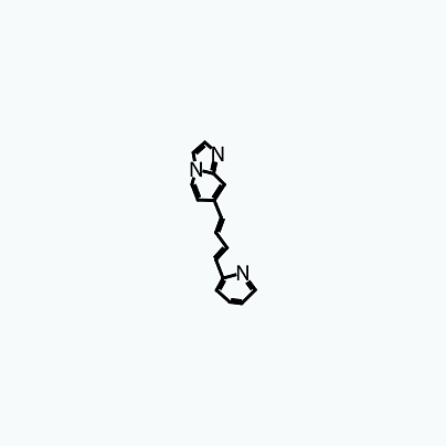 C(C=Cc1ccccn1)=Cc1ccn2ccnc2c1